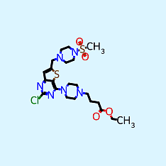 CCOC(=O)CCCN1CCN(c2nc(Cl)nc3cc(CN4CCN(S(C)(=O)=O)CC4)sc23)CC1